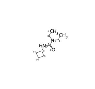 CCN(CC)C(=O)NC1CCC1